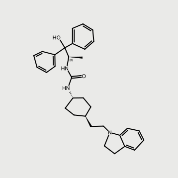 C[C@@H](NC(=O)N[C@H]1CC[C@H](CCN2CCc3ccccc32)CC1)C(O)(c1ccccc1)c1ccccc1